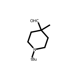 CC1(C=O)CCN(C(C)(C)C)CC1